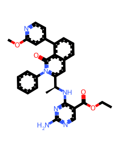 CCOC(=O)c1cnc(N)nc1N[C@@H](C)c1cc2cccc(-c3ccnc(OC)c3)c2c(=O)n1-c1ccccc1